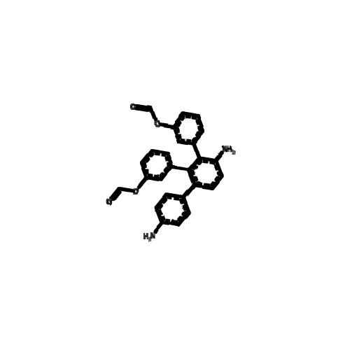 Nc1ccc(-c2ccc(N)c(-c3cccc(OC=O)c3)c2-c2cccc(OC=O)c2)cc1